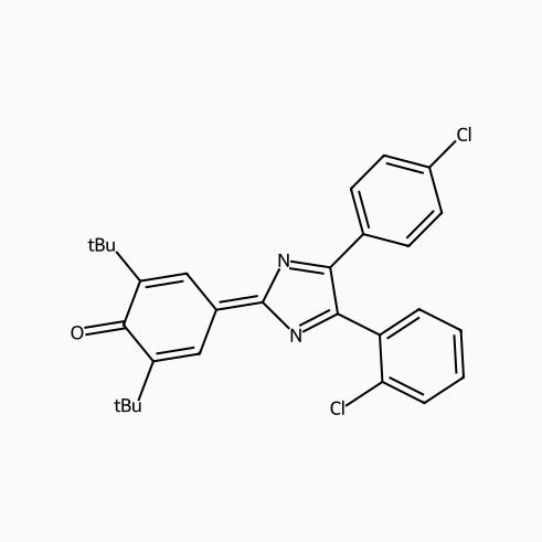 CC(C)(C)C1=CC(=C2N=C(c3ccc(Cl)cc3)C(c3ccccc3Cl)=N2)C=C(C(C)(C)C)C1=O